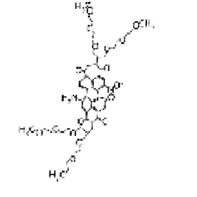 CCCOCCOCC(COCCOCCOC)CC1C(=O)c2ccc3c4c([N+](=O)[O-])cc5c6c(ccc(c7c(N)cc(c2c37)C1=O)c64)C(=O)CC(C(COCCOCCOC)COCCOCCOC)C5=O